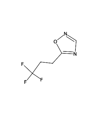 FC(F)(F)CCc1ncno1